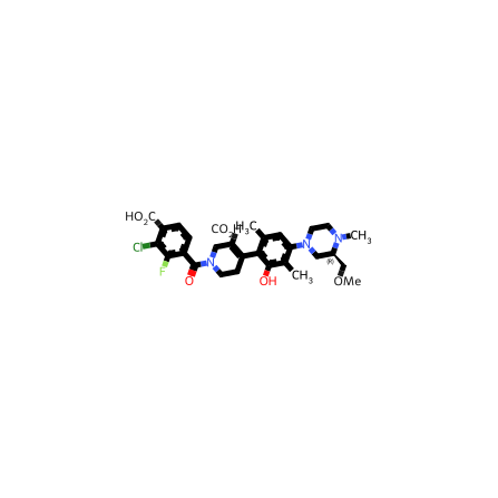 COC[C@H]1CN(c2cc(C)c(C3=C(C(=O)O)CN(C(=O)c4ccc(C(=O)O)c(Cl)c4F)CC3)c(O)c2C)CCN1C